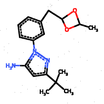 CC1OC(Cc2cccc(-n3nc(C(C)(C)C)cc3N)c2)O1